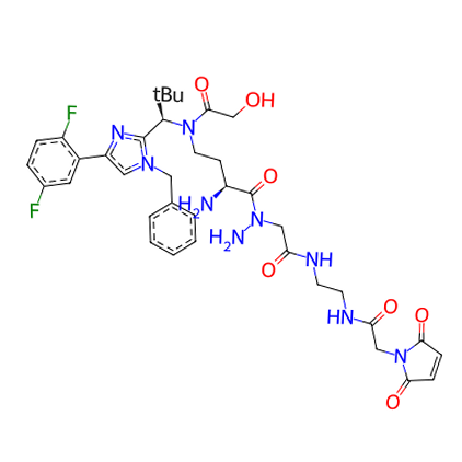 CC(C)(C)[C@H](c1nc(-c2cc(F)ccc2F)cn1Cc1ccccc1)N(CC[C@H](N)C(=O)N(N)CC(=O)NCCNC(=O)CN1C(=O)C=CC1=O)C(=O)CO